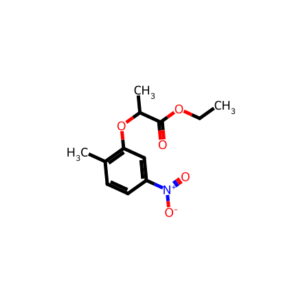 CCOC(=O)C(C)Oc1cc([N+](=O)[O-])ccc1C